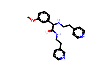 COc1cccc(C(NCCc2ccncc2)C(=O)NCCc2cccnc2)c1